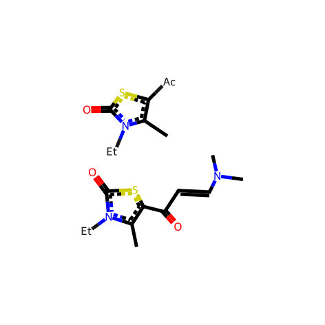 CCn1c(C)c(C(=O)C=CN(C)C)sc1=O.CCn1c(C)c(C(C)=O)sc1=O